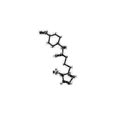 COC1CCC(NC(=S)CCCc2nnnn2C)CC1